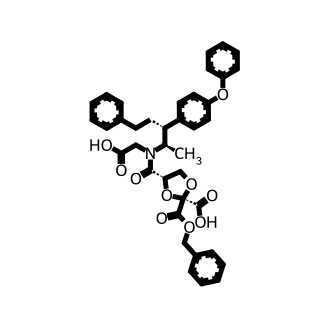 C[C@H]([C@H](CCc1ccccc1)c1ccc(Oc2ccccc2)cc1)N(CC(=O)O)C(=O)[C@@H]1CO[C@@](C(=O)O)(C(=O)OCc2ccccc2)O1